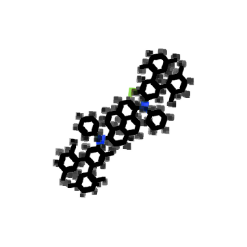 Cc1ccc(C)c(-c2cc(C)c(N(c3ccccc3)c3ccc4ccc5c(N(c6ccccc6)c6cc(-c7cc(C)ccc7C)c(-c7cc(C)ccc7C)cc6F)ccc6ccc3c4c65)cc2-c2cc(C)ccc2C)c1